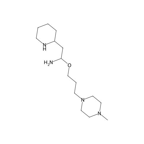 CN1CCN(CCCOC(N)CC2CCCCN2)CC1